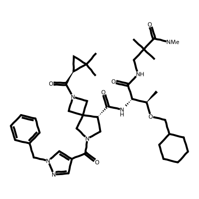 CNC(=O)C(C)(C)CNC(=O)[C@@H](NC(=O)[C@@H]1CN(C(=O)c2cnn(Cc3ccccc3)c2)CC12CN(C(=O)[C@H]1CC1(C)C)C2)[C@@H](C)OCC1CCCCC1